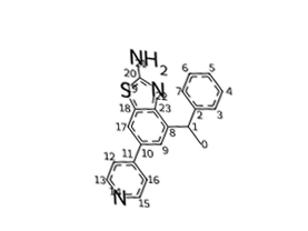 CC(c1ccccc1)c1cc(-c2ccncc2)cc2sc(N)nc12